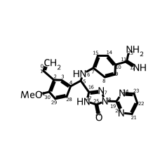 C=Cc1cc(C(Nc2ccc(C(=N)N)cc2)c2nn(-c3ncccn3)c(=O)[nH]2)ccc1OC